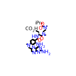 CC(C)OC(=O)N(C)CCN(C)C(=O)[C@H](CCC(=O)O)NC(=O)c1ccc(N(C)Cc2cnc3nc(N)nc(N)c3n2)cc1